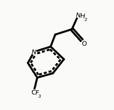 NC(=O)Cc1ccc(C(F)(F)F)cn1